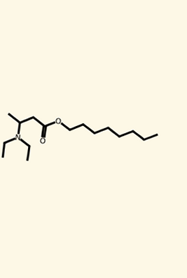 CCCCCCCCOC(=O)CC(C)N(CC)CC